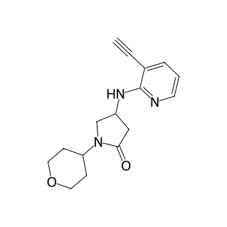 C#Cc1cccnc1NC1CC(=O)N(C2CCOCC2)C1